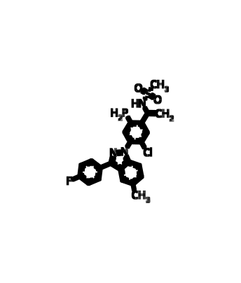 C=C(NS(C)(=O)=O)c1cc(Cl)c(-n2nc(-c3ccc(F)cc3)c3cc(C)ccc32)cc1P